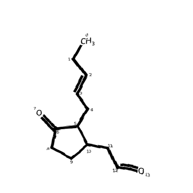 CCC=CCC1C(=O)CCC1CC=O